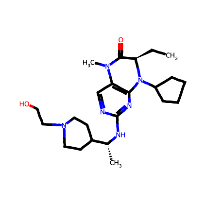 CC[C@@H]1C(=O)N(C)c2cnc(N[C@H](C)C3CCN(CCO)CC3)nc2N1C1CCCC1